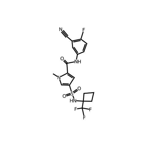 Cn1cc(S(=O)(=O)NC2(C(F)(F)F)CCC2)cc1C(=O)Nc1ccc(F)c(C#N)c1